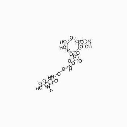 CC[C@H]1OC(=O)[C@H](C)[C@@H](OC2C[C@@](C)(OC)[C@@H](OC(=O)NCCOCCOCCNc3cc4c(=O)c(C(=O)O)cn(C5CC5)c4cc3Cl)[C@H](C)O2)[C@H](C)[C@@H](OC2O[C@H](C)C[C@H](N(C)C)[C@H]2O)[C@](C)(OC)C[C@@H](C)C(=O)[C@H](C)[C@@H](O)[C@]1(C)O